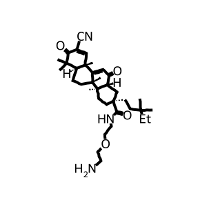 CCC(C)(C)CC[C@]1(C(=O)NCCOCCN)CC[C@]2(C)[C@@H](C1)C(=O)C=C1[C@@]3(C)C=C(C#N)C(=O)C(C)(C)[C@@H]3CC[C@]12C